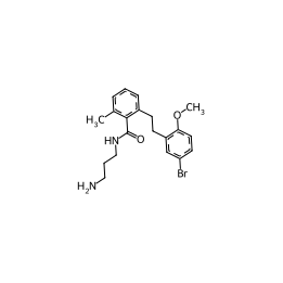 COc1ccc(Br)cc1CCc1cccc(C)c1C(=O)NCCCN